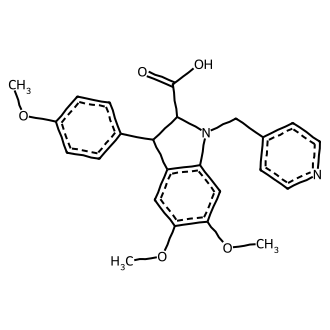 COc1ccc(C2c3cc(OC)c(OC)cc3N(Cc3ccncc3)C2C(=O)O)cc1